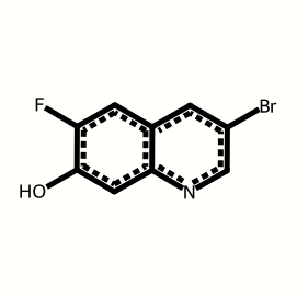 Oc1cc2ncc(Br)cc2cc1F